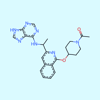 CC(=O)N1CCC(Oc2nc(C(C)Nc3ncnc4[nH]cnc34)cc3ccccc23)CC1